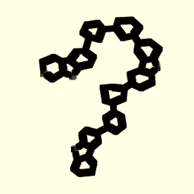 c1cc(-c2cccc(-c3ccc4sc5ccc(-c6cccc(-c7cccc(-c8ccc9oc%10cnccc%10c9c8)c7)c6)cc5c4c3)c2)cc(-c2ccc3oc4ccccc4c3c2)c1